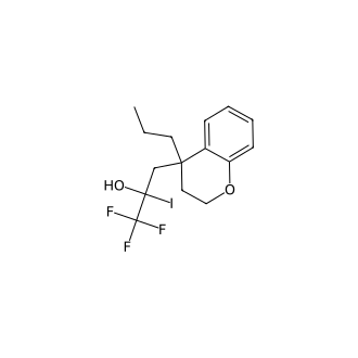 CCCC1(CC(O)(I)C(F)(F)F)CCOc2ccccc21